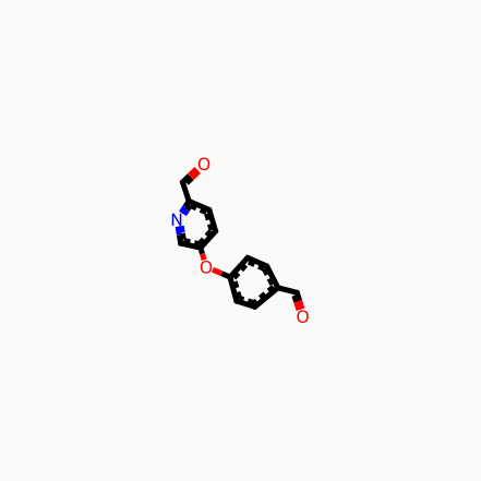 O=Cc1ccc(Oc2ccc(C=O)nc2)cc1